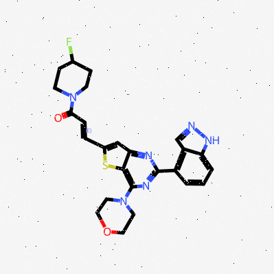 O=C(/C=C/c1cc2nc(-c3cccc4[nH]ncc34)nc(N3CCOCC3)c2s1)N1CCC(F)CC1